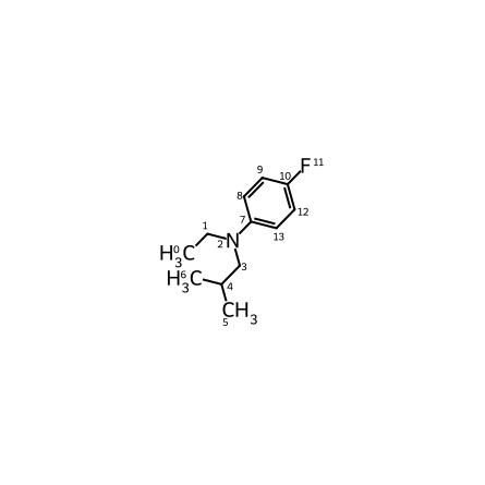 CCN(CC(C)C)c1ccc(F)cc1